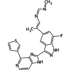 C=N/C=N\C=C(/C)c1cc(F)c2[nH]nc(-c3nc4c(-c5ccsc5)nccc4[nH]3)c2c1